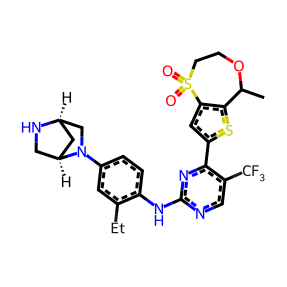 CCc1cc(N2C[C@H]3C[C@@H]2CN3)ccc1Nc1ncc(C(F)(F)F)c(-c2cc3c(s2)C(C)OCCS3(=O)=O)n1